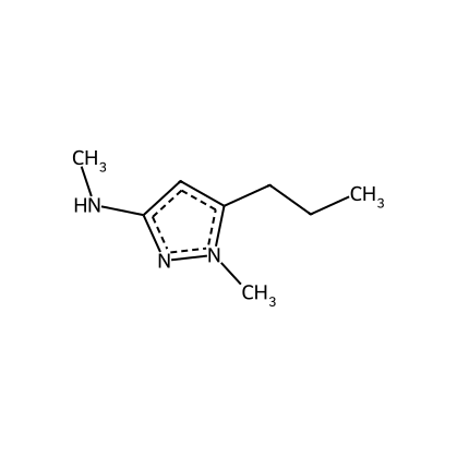 CCCc1cc(NC)nn1C